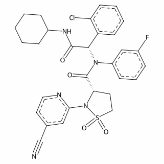 N#Cc1ccnc(N2[C@H](C(=O)N(c3cccc(F)c3)[C@H](C(=O)NC3CCCCC3)c3ccccc3Cl)CCS2(=O)=O)c1